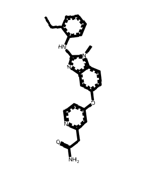 CCc1ccccc1Nc1nc2cc(Oc3ccnc(CC(N)=O)c3)ccc2n1C